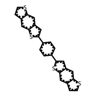 c1cc2cc3sc(-c4ccc(-c5cc6cc7sccc7cc6s5)cc4)cc3cc2s1